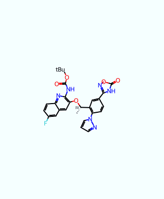 C[C@H](Oc1cc2cc(F)ccc2nc1NC(=O)OC(C)(C)C)c1cc(-c2noc(=O)[nH]2)ccc1-n1cccn1